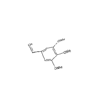 [CH]=Cc1cc(OC)c(OC)c(OC)c1